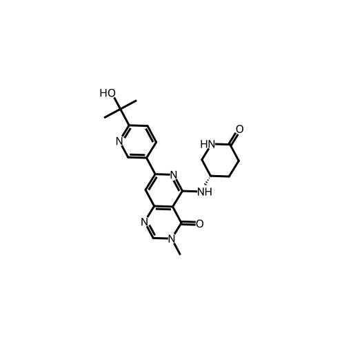 Cn1cnc2cc(-c3ccc(C(C)(C)O)nc3)nc(N[C@H]3CCC(=O)NC3)c2c1=O